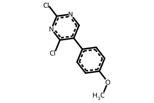 COc1ccc(-c2cnc(Cl)nc2Cl)cc1